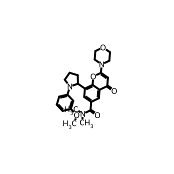 COc1cccc(N2CCCC2c2cc(C(=O)N(C)C)cc3c(=O)cc(N4CCOCC4)oc23)c1